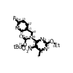 CCOc1nc(C)c([N+](=O)[O-])c(N(Cc2ccc(F)nc2)C(=O)OC(C)(C)C)n1